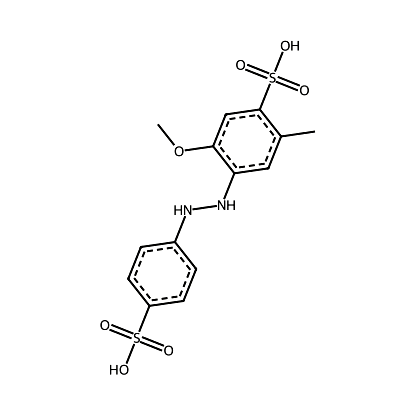 COc1cc(S(=O)(=O)O)c(C)cc1NNc1ccc(S(=O)(=O)O)cc1